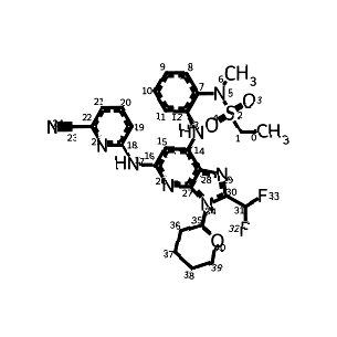 CCS(=O)(=O)N(C)c1ccccc1Nc1cc(Nc2cccc(C#N)n2)nc2c1nc(C(F)F)n2C1CCCCO1